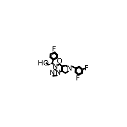 O=C1C2=C(CCN(Cc3cc(F)cc(F)c3)C2)N2CCN=C2N1[C@@H](CO)c1ccc(F)cc1